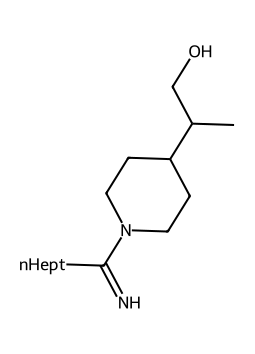 CCCCCCCC(=N)N1CCC(C(C)CO)CC1